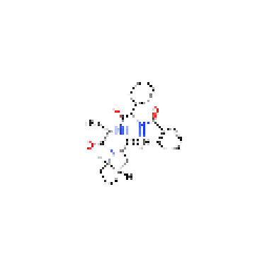 CC(C)(C)C(NC(=O)C(NC(=O)c1ccccc1)C1CCCCC1)C(=O)N1[C@H](C(=O)O)C[C@@H]2CCC[C@@H]21